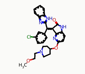 COCCN1CCC(Oc2ccc3c(n2)C(=C(c2cccc(Cl)c2)c2nc4ccccc4[nH]2)C(=O)N3)CC1